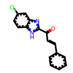 O=C(C=Cc1ccccc1)c1nc2cc(Cl)ccc2[nH]1